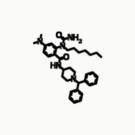 CCCCCCCN(C(N)=O)c1cc(N(C)C)ccc1C(=O)NC1CCN(C(c2ccccc2)c2ccccc2)CC1